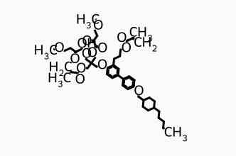 C=C(C)C(=O)OCCCc1cc(-c2ccc(OCC3CCC(CCCCC)CC3)cc2)ccc1OCC(COC(=O)C(=C)C)(COC(=O)C(=O)CCOC)COC(O)C(=O)CCOC